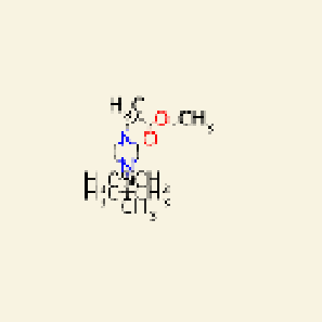 CCOC(=O)C(C)CN1CCN([Si](C)(C)C(C)(C)C)CC1